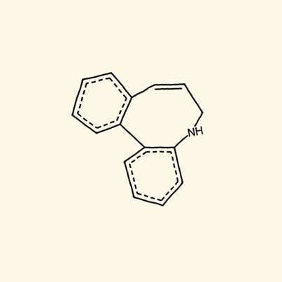 C1=C\c2ccccc2-c2ccccc2NC/1